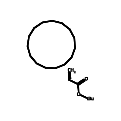 C1CCCCCCCCCCCCCC1.C=CC(=O)OC(C)(C)C